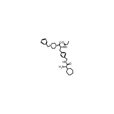 CCC(=O)NC(Cc1ccc(CNC(=O)C(N)C2CCCCCC2)cc1)C(=O)N1CCN(Cc2ccccc2)CC1